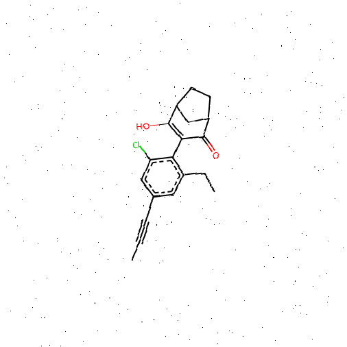 CC#Cc1cc(Cl)c(C2=C(O)C3CCC(C3)C2=O)c(CC)c1